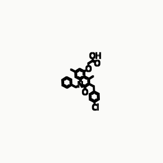 Cc1cc(OCC(=O)O)c2c(C)c(Cc3ccc(Cl)cc3)c(=O)n(Cc3ccccc3)c2c1